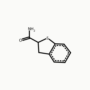 NC(=O)C1Cc2ccccc2S1